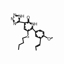 CC=Cc1cc(-c2[nH]c(=O)c(-c3nnn[nH]3)cc2SCCCC)ccc1OC